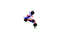 O=C(CNC(=O)c1ccccc1)NNc1ccccc1OCC(O)CN1CCC(Oc2ccc(Cl)cc2)C1